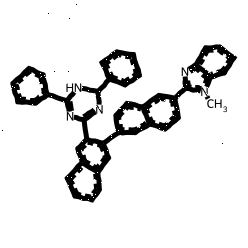 Cn1c(-c2ccc3cc(-c4cc5ccccc5cc4C4=NC(c5ccccc5)NC(c5ccccc5)=N4)ccc3c2)nc2ccccc21